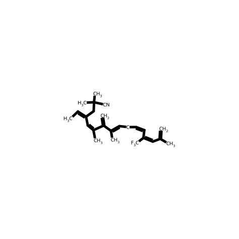 C=C(C)/C=C(\C=C/C/C=C(\C)C(=C)/C(C)=C\C(=C/C)CC(C)(C)C#N)C(F)(F)F